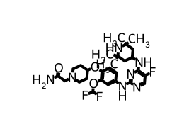 CC1(C)CC(Nc2nc(Nc3ccc(OC4CCN(CC(N)=O)CC4)c(OC(F)F)c3)ncc2F)CC(C)(C)N1